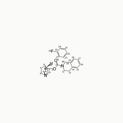 O=C(O[C@@H]1CN2CCC1CC2)N1CCc2ccccc2[C@H]1c1cccc(F)c1